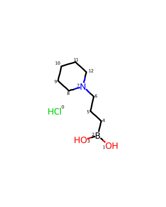 Cl.OB(O)CCCN1CCCCC1